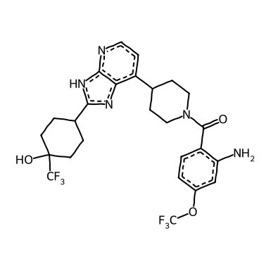 Nc1cc(OC(F)(F)F)ccc1C(=O)N1CCC(c2ccnc3[nH]c(C4CCC(O)(C(F)(F)F)CC4)nc23)CC1